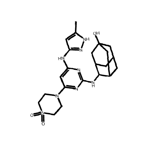 Cc1cc(Nc2cc(N3CCS(=O)(=O)CC3)nc(NC3C4CC5CC3CC(O)(C5)C4)n2)n[nH]1